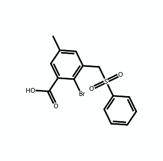 Cc1cc(CS(=O)(=O)c2ccccc2)c(Br)c(C(=O)O)c1